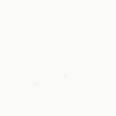 CCC(C)C(CS)C1CC(C)(S)CCNCC1C